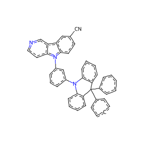 N#Cc1ccc2c(c1)c1cnccc1n2-c1cccc(N2c3ccccc3C(c3ccccc3)(c3ccccc3)c3ccccc32)c1